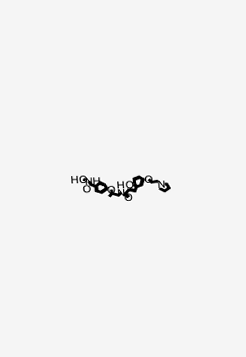 CC(CNC(=O)c1cc2cc(OCCN3CCCC3)ccc2o1)Oc1ccc(C(=O)NO)cc1